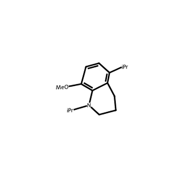 COc1ccc(C(C)C)c2c1N(C(C)C)CCC2